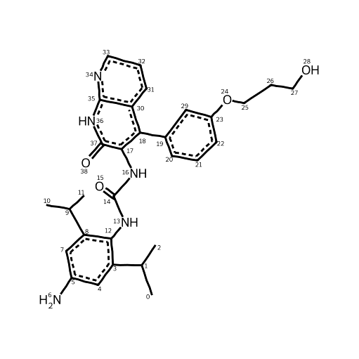 CC(C)c1cc(N)cc(C(C)C)c1NC(=O)Nc1c(-c2cccc(OCCCO)c2)c2cccnc2[nH]c1=O